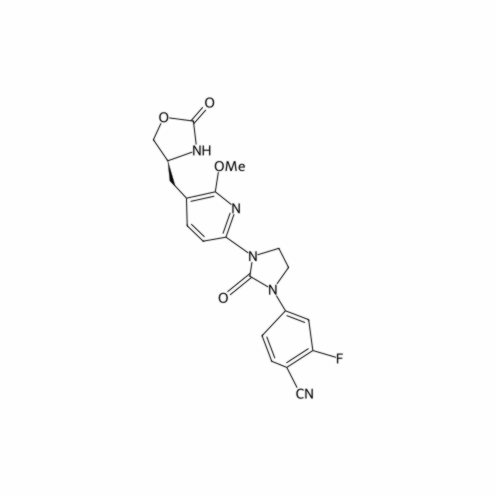 COc1nc(N2CCN(c3ccc(C#N)c(F)c3)C2=O)ccc1C[C@H]1COC(=O)N1